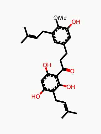 COc1c(O)cc(CCC(=O)c2c(O)cc(O)c(CC=C(C)C)c2O)cc1CC=C(C)C